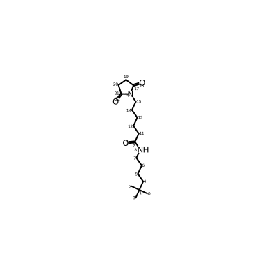 CC(C)(C)CCCCNC(=O)CCCCCN1C(=O)CCC1=O